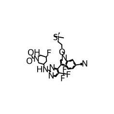 C[Si](C)(C)CCOCn1cc(-c2nc(NC3CC(F)CN(C(=O)O)C3)ncc2C(F)(F)F)c2ccc(C#N)cc21